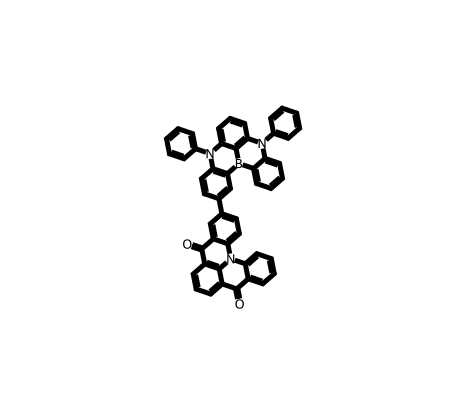 O=c1c2ccccc2n2c3ccc(-c4ccc5c(c4)B4c6ccccc6N(c6ccccc6)c6cccc(c64)N5c4ccccc4)cc3c(=O)c3cccc1c32